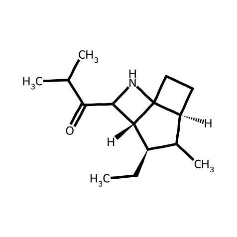 CC[C@@H]1C(C)[C@@H]2CCC23NC(C(=O)C(C)C)[C@@H]13